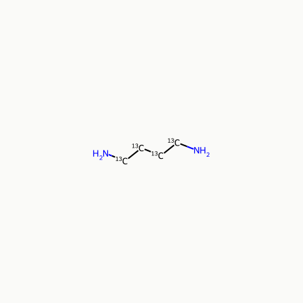 N[13CH2][13CH2][13CH2][13CH2]N